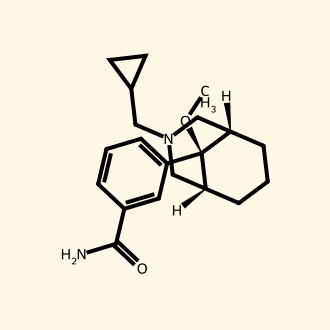 CO[C@]1(c2cccc(C(N)=O)c2)[C@@H]2CCC[C@H]1CN(CC1CC1)C2